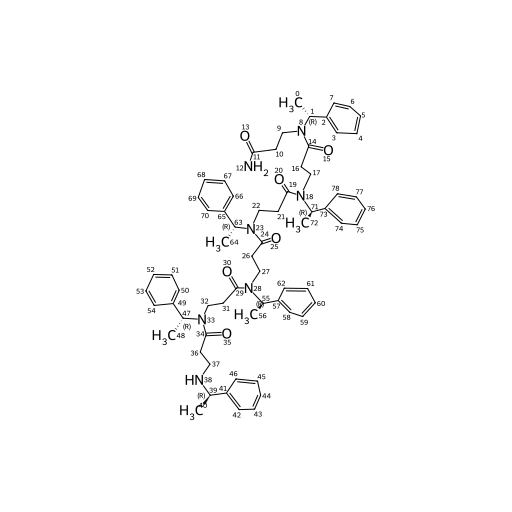 C[C@H](c1ccccc1)N(CCC(N)=O)C(=O)CCN(C(=O)CCN(C(=O)CCN(C(=O)CCN(C(=O)CCN[C@H](C)c1ccccc1)[C@H](C)c1ccccc1)[C@H](C)c1ccccc1)[C@H](C)c1ccccc1)[C@H](C)c1ccccc1